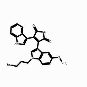 CSc1ccc2c(c1)c(C1=C(c3c[nH]c4ccccc34)C(=O)NC1=O)cn2CCCO